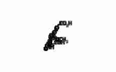 Cc1cc(C[C@@H](OC(=O)N2CCC(N3CCc4ccccc4NC3=O)CC2)C(=O)N2CCC(N3CCC(CCC(=O)O)CC3)CC2)cc(C)c1O